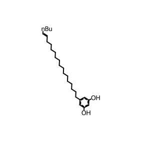 CCCCC=CCCCCCCCCCCCCCCCc1cc(O)cc(O)c1